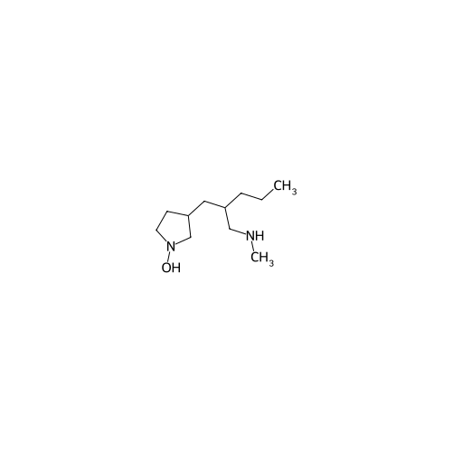 CCCC(CNC)CC1CCN(O)C1